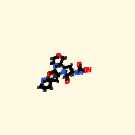 O=C(O)N[C@H]1CCN([C@@H](Cc2cccnc2)C(=O)N2CCOCC2)C1=O